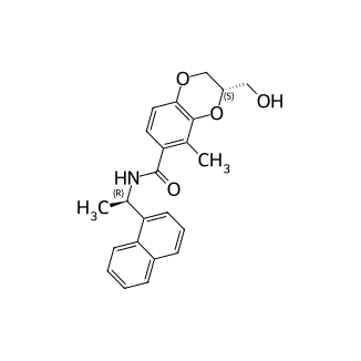 Cc1c(C(=O)N[C@H](C)c2cccc3ccccc23)ccc2c1O[C@@H](CO)CO2